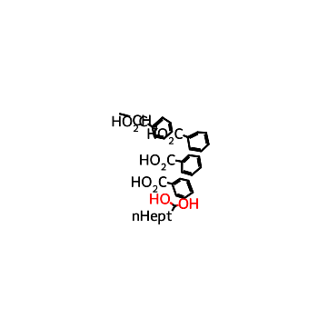 C.CC.CCCCCCCC(O)O.O=C(O)c1ccccc1.O=C(O)c1ccccc1.O=C(O)c1ccccc1.O=C(O)c1ccccc1